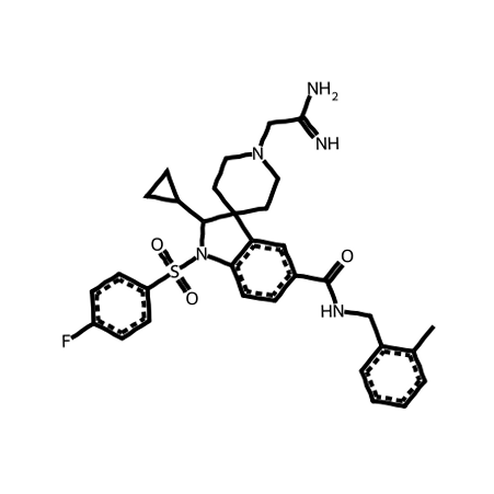 Cc1ccccc1CNC(=O)c1ccc2c(c1)C1(CCN(CC(=N)N)CC1)C(C1CC1)N2S(=O)(=O)c1ccc(F)cc1